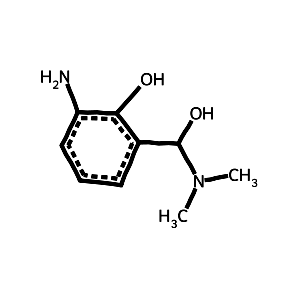 CN(C)C(O)c1cccc(N)c1O